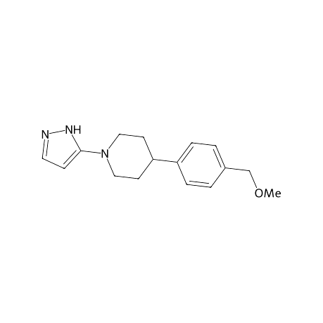 COCc1ccc(C2CCN(c3ccn[nH]3)CC2)cc1